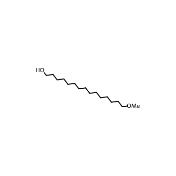 COCCCCCCCCCCCCCCCO